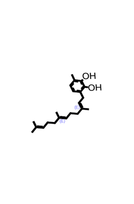 CC(C)=CCC/C(C)=C/CC/C(C)=C/Cc1ccc(C)c(O)c1O